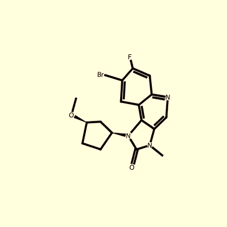 CO[C@@H]1CC[C@H](n2c(=O)n(C)c3cnc4cc(F)c(Br)cc4c32)C1